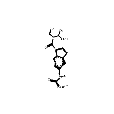 CNC(=O)Nc1ccc2c(c1)CC[C@@H]2C(=O)N(CC(C)=O)C(O)O